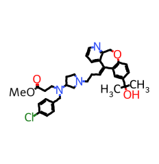 COC(=O)CCN(Cc1ccc(Cl)cc1)C1CCN(CCC=C2c3cc(C(C)(C)O)ccc3OCc3ncccc32)C1